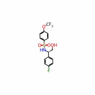 O=S(=O)(N[C@@H](CO)c1ccc(F)cc1)c1ccc(OC(F)(F)F)cc1